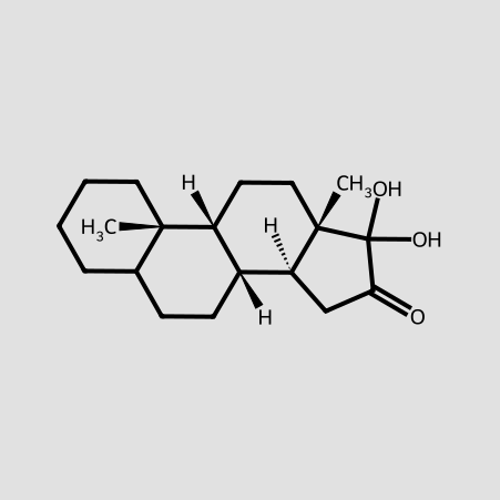 C[C@]12CCCCC1CC[C@@H]1[C@H]2CC[C@@]2(C)[C@H]1CC(=O)C2(O)O